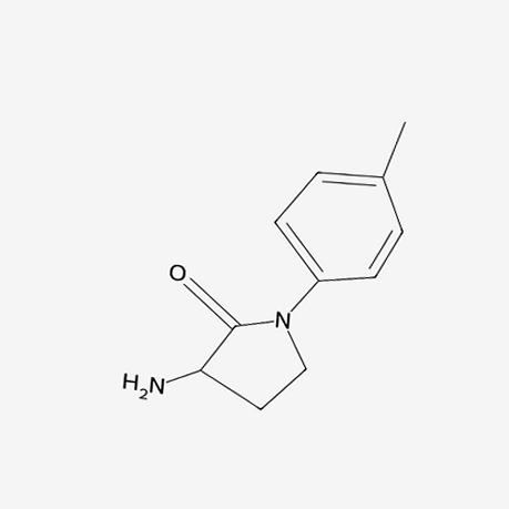 Cc1ccc(N2CCC(N)C2=O)cc1